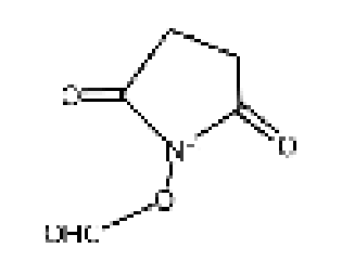 O=CO[N+]1C(=O)CCC1=O